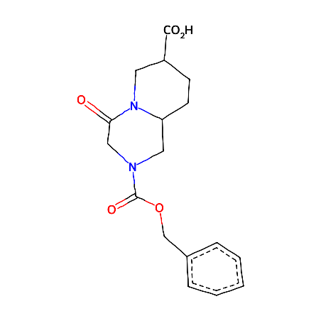 O=C(O)C1CCC2CN(C(=O)OCc3ccccc3)CC(=O)N2C1